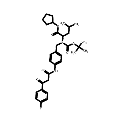 CC(C)CC(C(=O)OC1CCCC1)N(Cc1ccc(NC(=N)CC(=O)c2ccc(F)cc2)cc1)C(=O)OC(C)(C)C